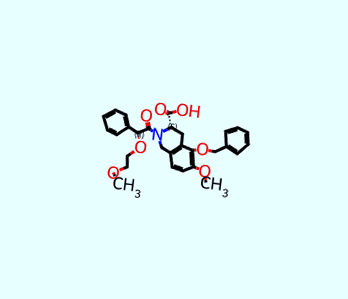 COCCO[C@@H](C(=O)N1Cc2ccc(OC)c(OCc3ccccc3)c2C[C@H]1C(=O)O)c1ccccc1